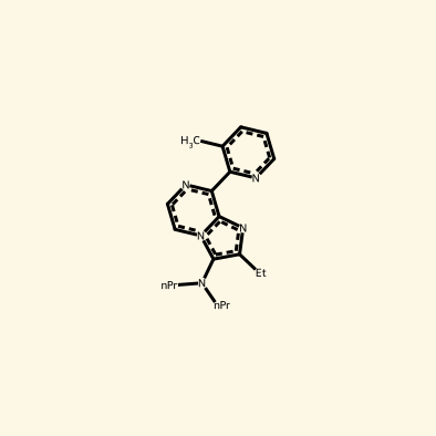 CCCN(CCC)c1c(CC)nc2c(-c3ncccc3C)nccn12